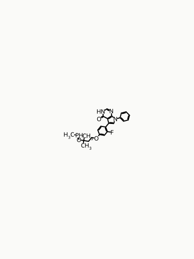 CPOC(C)(C)CCOc1ccc(-c2cn(-c3ccccc3)c3nc[nH]c(=O)c23)c(F)c1